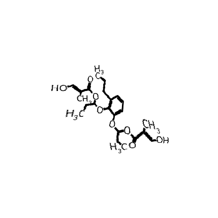 CCCc1cccc(OC(CC)OC(=O)/C(C)=C/O)c1OC(CC)OC(=O)/C(C)=C/O